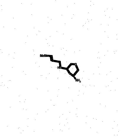 CN/C=C/CNC1COC[C@@H](N)C1